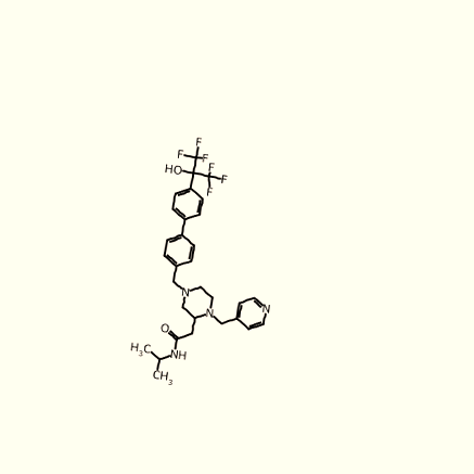 CC(C)NC(=O)CC1CN(Cc2ccc(-c3ccc(C(O)(C(F)(F)F)C(F)(F)F)cc3)cc2)CCN1Cc1ccncc1